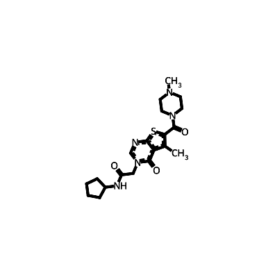 Cc1c(C(=O)N2CCN(C)CC2)sc2ncn(CC(=O)NC3CCCC3)c(=O)c12